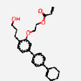 C=CC(=O)OCCOc1cc(-c2ccc(C3=CCCCC3)cc2)ccc1CCCO